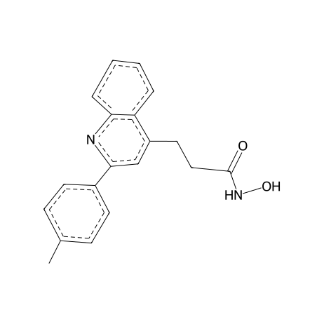 Cc1ccc(-c2cc(CCC(=O)NO)c3ccccc3n2)cc1